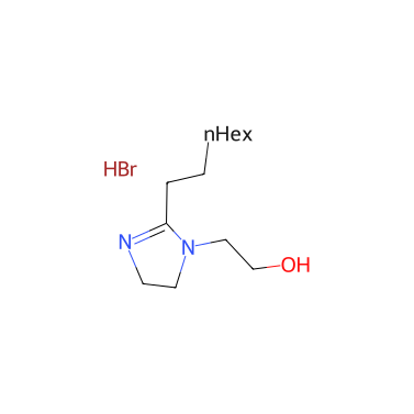 Br.CCCCCCCCC1=NCCN1CCO